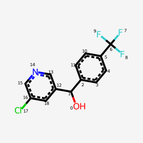 OC(c1ccc(C(F)(F)F)cc1)c1cncc(Cl)c1